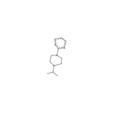 CC(C)N1CCN(c2n[c]ccn2)CC1